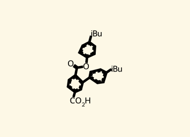 CCC(C)c1ccc(OC(=O)c2ccc(C(=O)O)cc2-c2ccc(C(C)CC)cc2)cc1